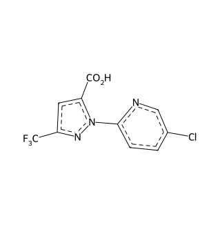 O=C(O)c1cc(C(F)(F)F)nn1-c1ccc(Cl)cn1